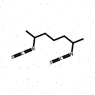 CC(CCCC(C)N=C=S)N=C=S